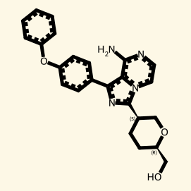 Nc1nccn2c([C@@H]3CC[C@H](CO)OC3)nc(-c3ccc(Oc4ccccc4)cc3)c12